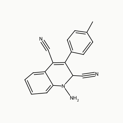 Cc1ccc(C2=C(C#N)c3ccccc3N(N)C2C#N)cc1